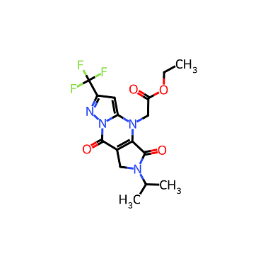 CCOC(=O)Cn1c2c(c(=O)n3nc(C(F)(F)F)cc13)CN(C(C)C)C2=O